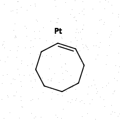 C1=CCCCCCC1.[Pt]